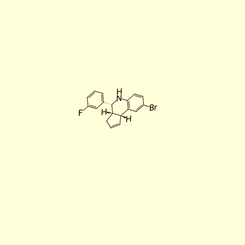 Fc1cccc([C@@H]2Nc3ccc(Br)cc3[C@@H]3C=CC[C@@H]32)c1